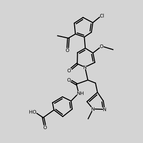 COc1cn(C(Cc2cnn(C)c2)C(=O)Nc2ccc(C(=O)O)cc2)c(=O)cc1-c1cc(Cl)ccc1C(C)=O